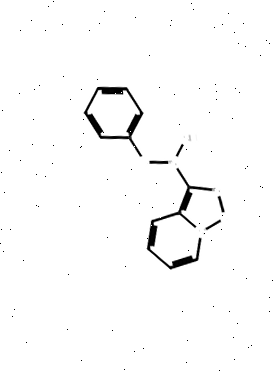 NN(Sc1ccccc1)C1=C2C=CC=CN2SN1